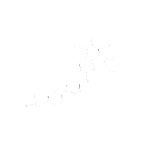 CC(=O)c1c(C)c2cnc(Nc3ccc(C4CCN(CC(F)F)CC4)cn3)nc2n(C2CCCC2)c1=O